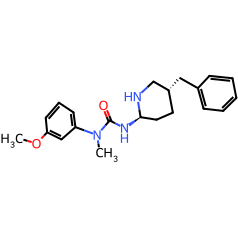 COc1cccc(N(C)C(=O)N[C@@H]2CC[C@@H](Cc3ccccc3)CN2)c1